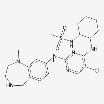 CN1CCNCc2ccc(Nc3ncc(Cl)c(NC4CCCC[C@H]4NS(C)(=O)=O)n3)cc21